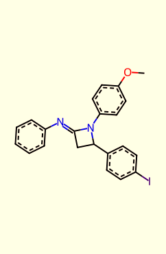 COc1ccc(N2/C(=N/c3ccccc3)CC2c2ccc(I)cc2)cc1